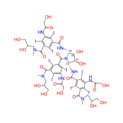 CN(CC(O)CO)C(=O)c1c(I)c(NC(=O)CO)c(I)c(C(=O)NC[C@@H]2[C@H](O)[C@@H](O)[C@H](CNC(=O)c3c(I)c(NC(=O)CO)c(I)c(C(=O)N(C)CC(O)CO)c3I)N2C(=O)c2c(I)c(NC(=O)CO)c(I)c(C(=O)N(C)CC(O)CO)c2I)c1I